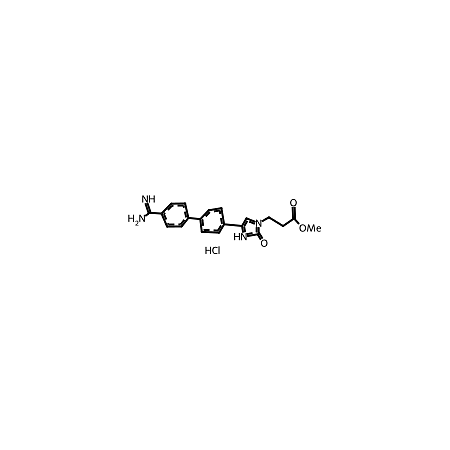 COC(=O)CCn1cc(-c2ccc(-c3ccc(C(=N)N)cc3)cc2)[nH]c1=O.Cl